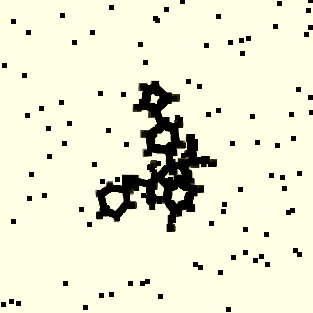 C[C@@](C(=O)NC1CCOCC1)(c1cncc(F)c1)N(C(=O)[C@H](F)Cl)c1ccc(-c2nccs2)cc1